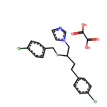 Clc1ccc(CCC(Cn2ccnc2)SCc2ccc(Cl)cc2)cc1.O=C(O)C(=O)O